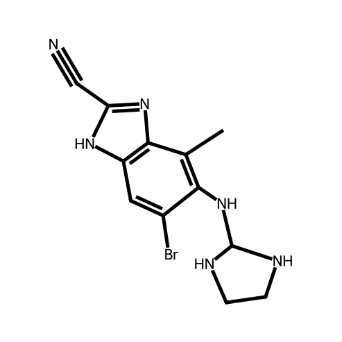 Cc1c(NC2NCCN2)c(Br)cc2[nH]c(C#N)nc12